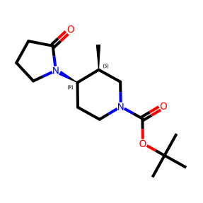 C[C@H]1CN(C(=O)OC(C)(C)C)CC[C@H]1N1CCCC1=O